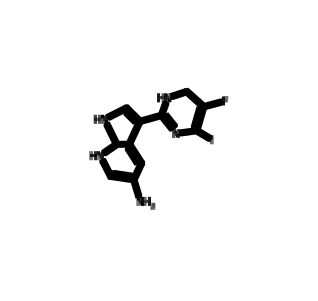 NC1=CNC2NC=C(C3=NC(I)=C(F)CN3)C2=C1